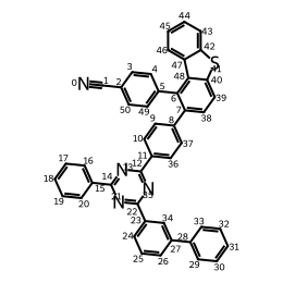 N#Cc1ccc(-c2c(-c3ccc(-c4nc(-c5ccccc5)nc(-c5cccc(-c6ccccc6)c5)n4)cc3)ccc3sc4ccccc4c23)cc1